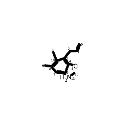 C=CCc1c(Cl)ccc(C)c1C.CN